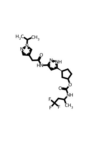 CC(CC(F)(F)F)NC(=O)OC1CC[C@H](c2cc(NC(=O)Cc3cnn(C(C)C)c3)n[nH]2)C1